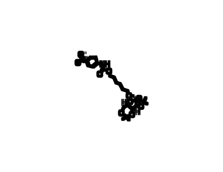 CC1(C)OC[C@@H]2O[C@@]3(COCCCCCCOC(=O)Nc4ccc([N+](=O)[O-])cc4)OC(C)(C)O[C@H]3[C@@H]2O1